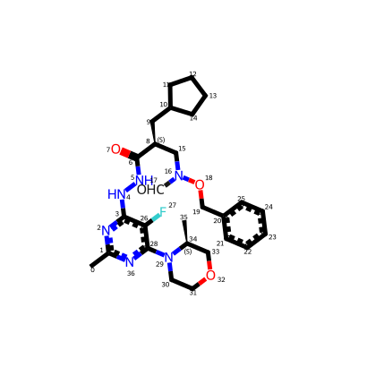 Cc1nc(NNC(=O)[C@@H](CC2CCCC2)CN(C=O)OCc2ccccc2)c(F)c(N2CCOC[C@@H]2C)n1